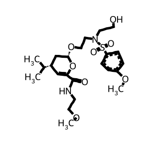 COCCNC(=O)C1=C[C@H](C(C)C)C[C@H](OCCN(CCO)S(=O)(=O)c2ccc(OC)cc2)O1